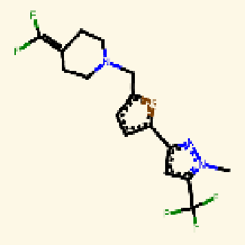 Cn1nc(-c2ccc(CN3CCC(=C(F)F)CC3)s2)cc1C(F)(F)F